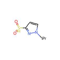 CC(C)n1ccc([SH](=O)=O)n1